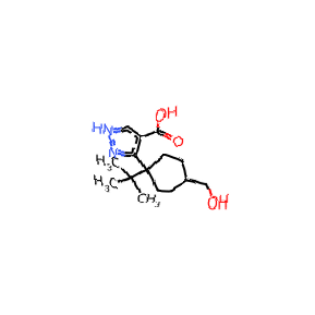 CC(C)(C)C1(c2n[nH]cc2C(=O)O)CCC(CO)CC1